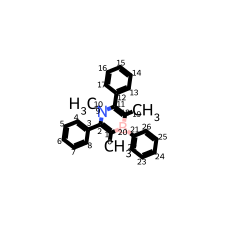 CC1=C(c2ccccc2)N(C)C(c2ccccc2)=C(C)B1c1ccccc1